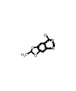 CC1Oc2cc3ncnc(Cl)c3cc2O1